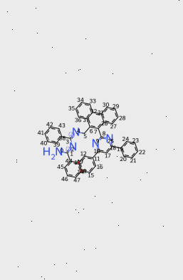 N/C(=N\C(=N/Cc1c(-c2nc(-c3ccccc3)cc(-c3ccccc3)n2)c2ccccc2c2ccccc12)c1ccccc1)c1ccccc1